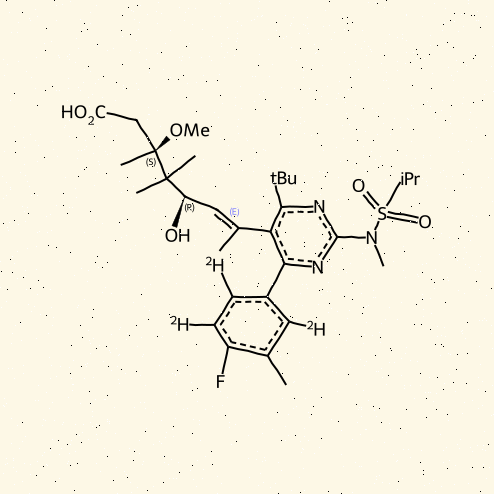 [2H]c1c([2H])c(-c2nc(N(C)S(=O)(=O)C(C)C)nc(C(C)(C)C)c2/C(C)=C/[C@@H](O)C(C)(C)[C@](C)(CC(=O)O)OC)c([2H])c(C)c1F